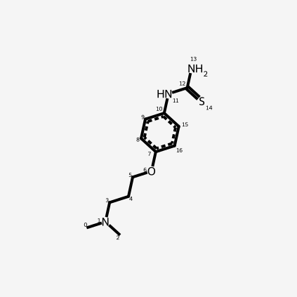 CN(C)CCCOc1ccc(NC(N)=S)cc1